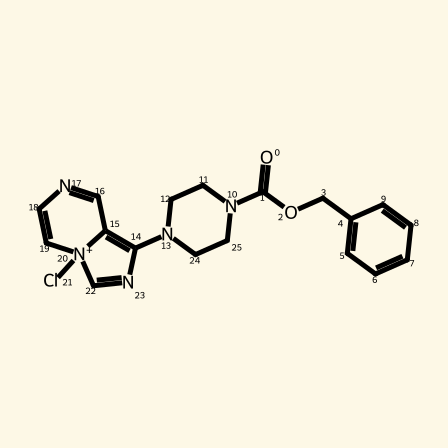 O=C(OCc1ccccc1)N1CCN(C2=C3C=NC=C[N+]3(Cl)C=N2)CC1